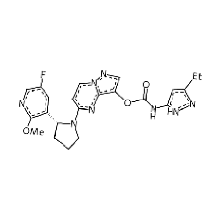 CCc1cc(NC(=O)Oc2cnn3ccc(N4CCC[C@@H]4c4cc(F)cnc4OC)nc23)[nH]n1